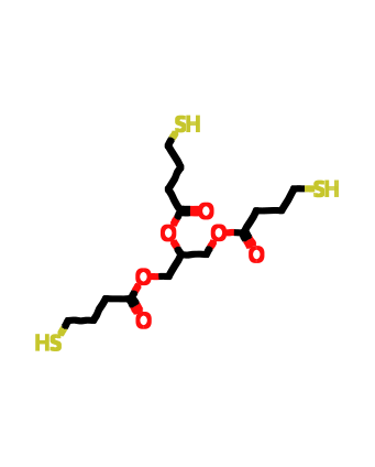 O=C(CCCS)OCC(COC(=O)CCCS)OC(=O)CCCS